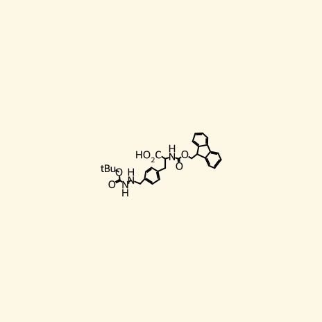 CC(C)(C)OC(=O)NNCc1ccc(CC(NC(=O)OCC2c3ccccc3-c3ccccc32)C(=O)O)cc1